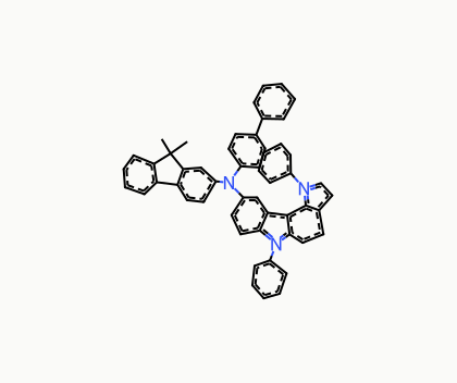 CC1(C)c2ccccc2-c2ccc(N(c3ccc(-c4ccccc4)cc3)c3ccc4c(c3)c3c5c(ccc3n4-c3ccccc3)ccn5-c3ccccc3)cc21